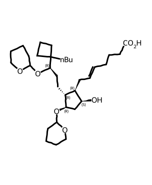 CCCCC1([C@@H](CC[C@@H]2[C@@H](CC=CCCCC(=O)O)[C@@H](O)C[C@H]2OC2CCCCO2)OC2CCCCO2)CCC1